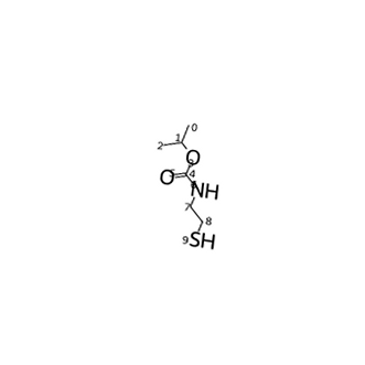 CC(C)OC(=O)NCCS